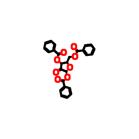 O=C(OC[C@H]1O[C@H](OC(=O)c2ccccc2)C(=O)[C@H]1OC(=O)c1ccccc1)c1ccccc1